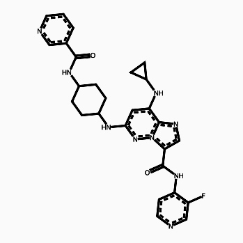 O=C(NC1CCC(Nc2cc(NC3CC3)c3ncc(C(=O)Nc4ccncc4F)n3n2)CC1)c1cccnc1